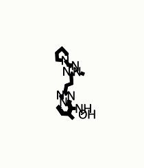 Cc1ccn2nc(CCc3nc(N4CCCC4)nn3C)nc2c1NO